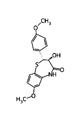 COc1ccc([C@H]2Sc3ccc(OC)cc3NC(=O)[C@@H]2O)cc1